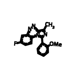 COc1ccccc1-c1nc(C)c2nnc3cc(F)ccc3n12